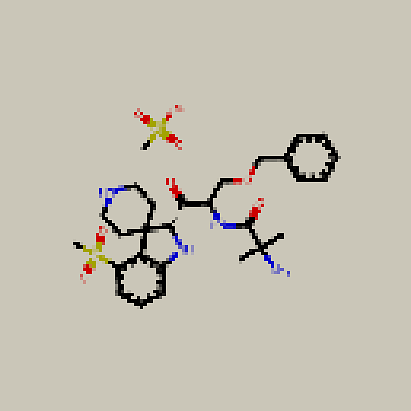 CC(C)(N)C(=O)NC(COCc1ccccc1)C(=O)[C@@H]1Nc2cccc(S(C)(=O)=O)c2C12CCNCC2.CS(=O)(=O)O